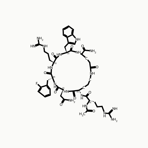 CC(=O)N[C@@H](CCCNC(=N)N)C(=O)N[C@H]1CCCNC(=O)CCC(C(N)=O)NC(=O)[C@H](Cc2c[nH]c3ccccc23)NC(=O)[C@H](CCCNC(=N)N)NC(=O)[C@@H](Cc2ccccc2F)NC(=O)[C@H](CC(N)=O)NC1=O